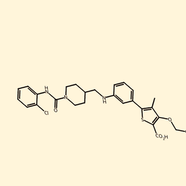 Cc1c(-c2cccc(NCC3CCN(C(=O)Nc4ccccc4Cl)CC3)c2)sc(C(=O)O)c1OCC(=O)O